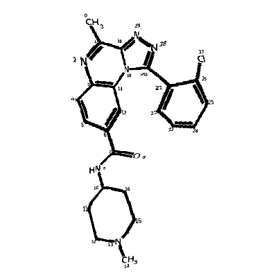 Cc1nc2ccc(C(=O)NC3CCN(C)CC3)cc2n2c(-c3ccccc3Cl)nnc12